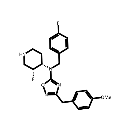 COc1ccc(Cc2noc(N(Cc3ccc(F)cc3)[C@H]3CCNC[C@H]3F)n2)cc1